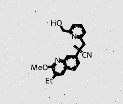 CCc1cc2ccc(C(C)(C#N)Cc3cccc(CO)n3)cc2nc1OC